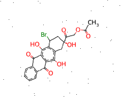 CC(=O)OCC(=O)[C@]1(O)Cc2c(O)c3c(c(O)c2C(Br)C1)C(=O)c1ccccc1C3=O